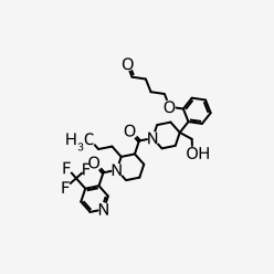 CCCC1C(C(=O)N2CCC(CO)(c3ccccc3OCCCC=O)CC2)CCCN1C(=O)c1cnccc1C(F)(F)F